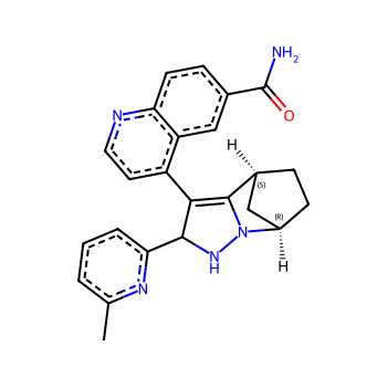 Cc1cccc(C2NN3C(=C2c2ccnc4ccc(C(N)=O)cc24)[C@H]2CC[C@@H]3C2)n1